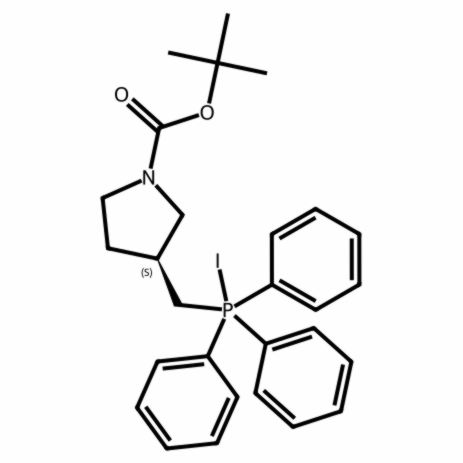 CC(C)(C)OC(=O)N1CC[C@H](CP(I)(c2ccccc2)(c2ccccc2)c2ccccc2)C1